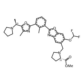 COC(=O)[C@@H]1CCCN1Cc1cc2nc(-c3cccc(-c4nc(C)c([C@H](C)N5CCCC5)o4)c3C)oc2cc1OC(F)F